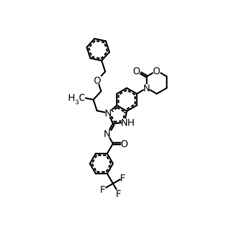 CC(COCc1ccccc1)Cn1/c(=N/C(=O)c2cccc(C(F)(F)F)c2)[nH]c2cc(N3CCCOC3=O)ccc21